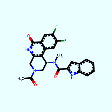 CC(=O)N1Cc2[nH]c(=O)c3cc(F)c(F)cc3c2[C@@H](N(C)C(=O)c2cc3ccccc3[nH]2)C1